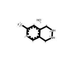 Cl.FC(F)(F)c1cc2c(cn1)CNNC2